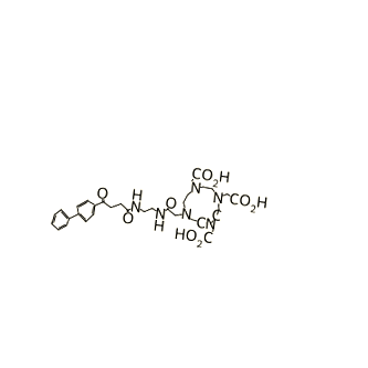 O=C(O)CN1CCN(CC(=O)O)CCN(CC(=O)NCCNC(=O)CCC(=O)c2ccc(-c3ccccc3)cc2)CCN(CC(=O)O)CC1